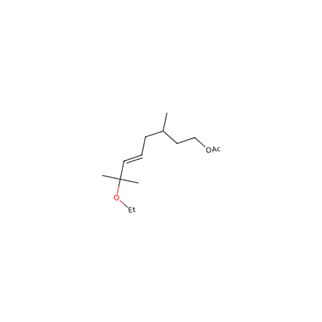 CCOC(C)(C)C=CCC(C)CCOC(C)=O